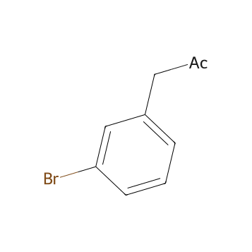 [CH2]C(=O)Cc1cccc(Br)c1